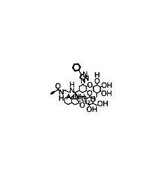 C#CC(=O)NCCNC(=O)C1CC(n2cc(-c3ccccc3)nn2)C(O[C@@H]2CC(C)[C@@H](O)C(O)C2O)[C@H](O[C@@H]2OC(CO)[C@H](O)C(O[C@@H](CC3CCCCC3)C(=O)O)C2NC(C)=O)C1